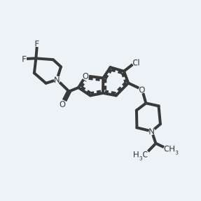 CC(C)N1CCC(Oc2cc3cc(C(=O)N4CCC(F)(F)CC4)oc3cc2Cl)CC1